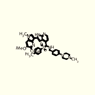 COc1cc2c(nc1OC)c(-c1cc3c(C(NCc4ccc(N5CCN(C)CC5)cc4)S(=O)(=O)c4ccc(C)cc4)ccnc3[nH]1)cn2C